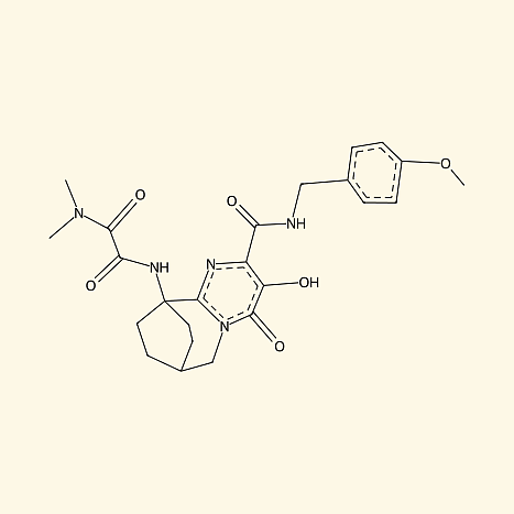 COc1ccc(CNC(=O)c2nc3n(c(=O)c2O)CC2CCC3(NC(=O)C(=O)N(C)C)CC2)cc1